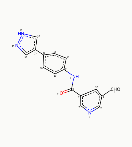 O=Cc1cncc(C(=O)Nc2ccc(-c3cn[nH]c3)cc2)c1